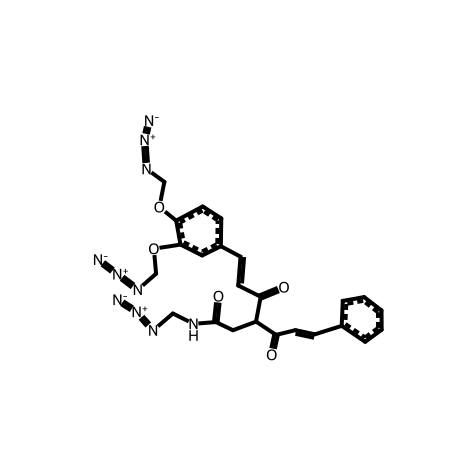 [N-]=[N+]=NCNC(=O)CC(C(=O)/C=C/c1ccccc1)C(=O)/C=C/c1ccc(OCN=[N+]=[N-])c(OCN=[N+]=[N-])c1